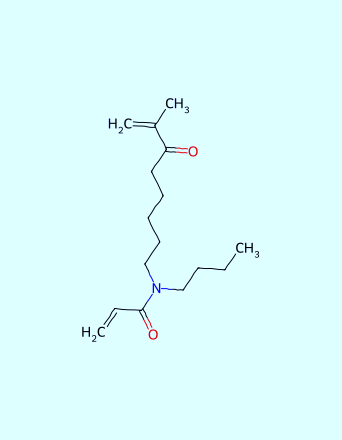 C=CC(=O)N(CCCC)CCCCCC(=O)C(=C)C